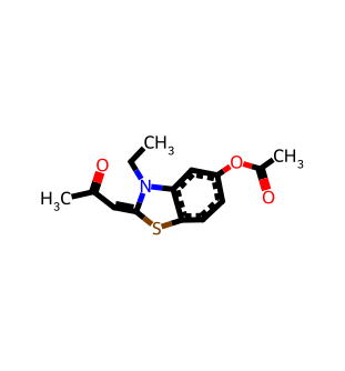 CCN1C(=CC(C)=O)Sc2ccc(OC(C)=O)cc21